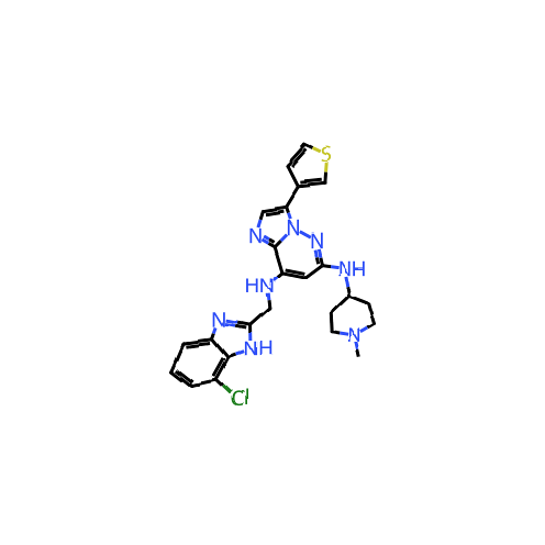 CN1CCC(Nc2cc(NCc3nc4cccc(Cl)c4[nH]3)c3ncc(-c4ccsc4)n3n2)CC1